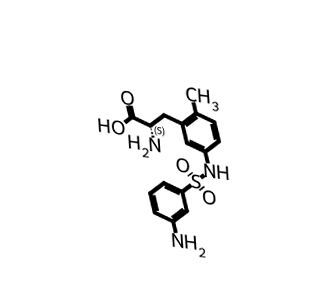 Cc1ccc(NS(=O)(=O)c2cccc(N)c2)cc1C[C@H](N)C(=O)O